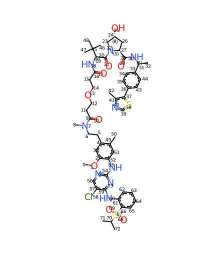 COc1cc(CCN(C)C(=O)CCOCCC(=O)N[C@H](C(=O)N2C[C@H](O)C[C@H]2C(=O)N[C@@H](C)c2ccc(-c3scnc3C)cc2)C(C)(C)C)c(C)cc1Nc1ncc(Cl)c(Nc2ccccc2S(=O)(=O)C(C)C)n1